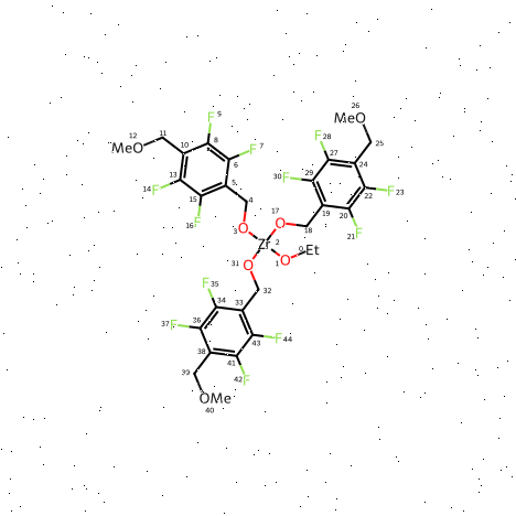 CC[O][Zr]([O]Cc1c(F)c(F)c(COC)c(F)c1F)([O]Cc1c(F)c(F)c(COC)c(F)c1F)[O]Cc1c(F)c(F)c(COC)c(F)c1F